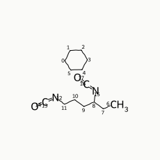 C1CCCCC1.CCC(CCCN=C=O)N=C=O